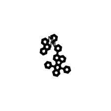 c1ccc(-c2c3c(c(-c4ccccc4)c4ccccc24)-c2ccc(-c4cccc(N(c5ccccn5)c5cc6ccccc6c6ccccc56)c4)c4cccc-3c24)cc1